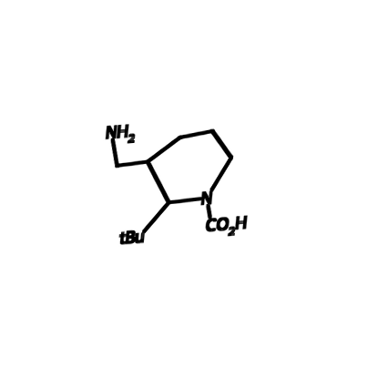 CC(C)(C)C1C(CN)CCCN1C(=O)O